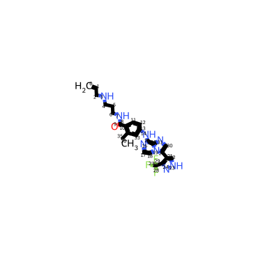 C=CCNCCCNC(=O)c1ccc(Nc2nccn3c(-c4c[nH]nc4C(F)(F)F)cnc23)cc1CC